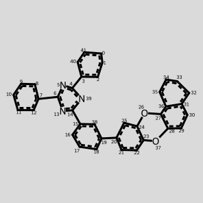 c1ccc(-c2nc(-c3ccccc3)nc(-c3cccc(-c4ccc5c(c4)Oc4c(ccc6ccccc46)O5)c3)n2)cc1